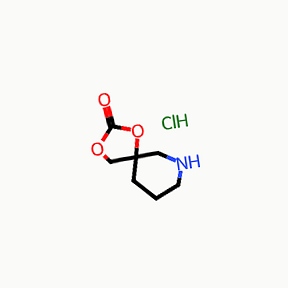 Cl.O=C1OCC2(CCCNC2)O1